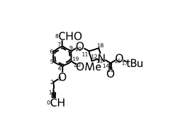 C#CCOc1ccc(C=O)c(OC2CN(C(=O)OC(C)(C)C)C2)c1OC